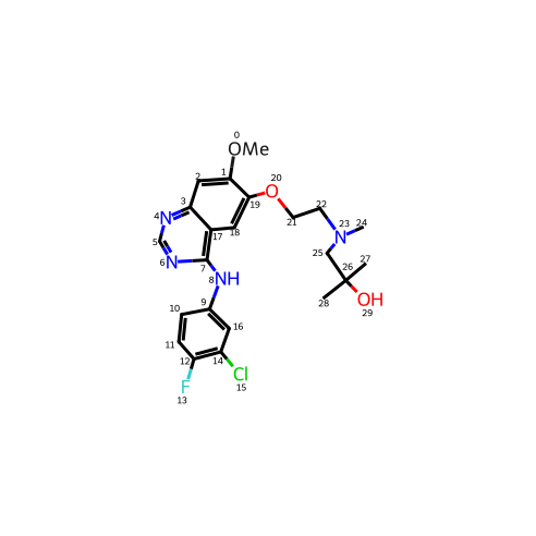 COc1cc2ncnc(Nc3ccc(F)c(Cl)c3)c2cc1OCCN(C)CC(C)(C)O